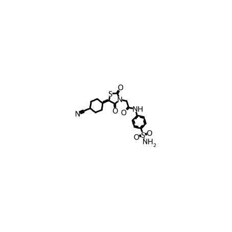 N#CC1CCC(=C2SC(=O)N(CC(=O)Nc3ccc(S(N)(=O)=O)cc3)C2=O)CC1